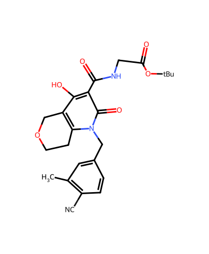 Cc1cc(Cn2c3c(c(O)c(C(=O)NCC(=O)OC(C)(C)C)c2=O)COCC3)ccc1C#N